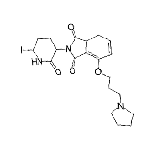 O=C1NC(I)CCC1N1C(=O)C2=C(OCCCN3CCCC3)C=CCC2C1=O